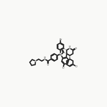 O=C1C[C@@H](C2C=CC=C(Cl)C2)[C@]2(C(=O)Nc3cc(Cl)ccc32)[C@H](c2cc(Br)ccc2Oc2ccc(C(=O)NCCN3CCCC3)cc2)N1